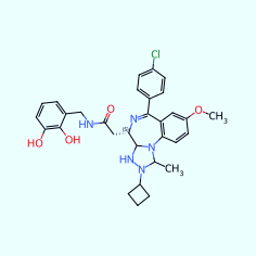 COc1ccc2c(c1)C(c1ccc(Cl)cc1)=N[C@@H](CC(=O)NCc1cccc(O)c1O)C1NN(C3CCC3)C(C)N21